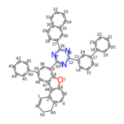 C1=Cc2c(ccc3oc4c(-c5nc(-c6cccc(-c7ccccc7)c6)nc(-c6ccc7ccccc7c6)n5)cc(-c5ccccc5)cc4c23)CC1